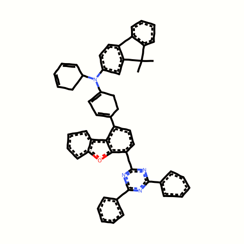 CC1(C)c2ccccc2-c2ccc(N(C3=CC=C(c4ccc(-c5nc(-c6ccccc6)nc(-c6ccccc6)n5)c5oc6ccccc6c45)CC3)C3C=CC=CC3)cc21